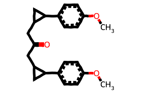 COc1ccc(C2CC2CC(=O)CC2CC2c2ccc(OC)cc2)cc1